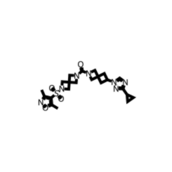 Cc1noc(C)c1S(=O)(=O)N1CC2(CN(C(=O)N3CC4(CC(n5cnc(C6CC6)n5)C4)C3)C2)C1